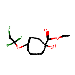 CCOC(=O)C1(O)CCC(OC(F)(F)CF)CC1